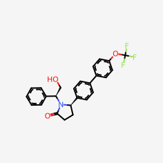 O=C1CC[C@H](c2ccc(-c3ccc(OC(F)(F)F)cc3)cc2)N1[C@H](CO)c1ccccc1